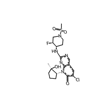 C[C@@]1(O)CCC[C@H]1n1c(=O)c(Cl)cc2cnc(N[C@@H]3CCN(S(C)(=O)=O)C[C@@H]3F)nc21